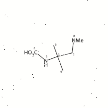 CNCC(C)(C)NC(=O)O